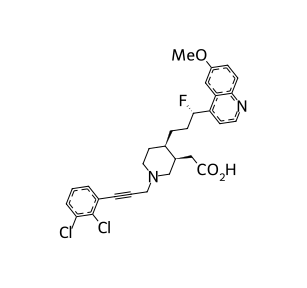 COc1ccc2nccc([C@@H](F)CC[C@@H]3CCN(CC#Cc4cccc(Cl)c4Cl)C[C@@H]3CC(=O)O)c2c1